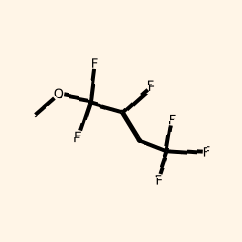 COC(F)(F)C(F)CC(F)(F)F